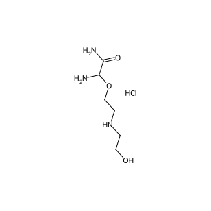 Cl.NC(=O)C(N)OCCNCCO